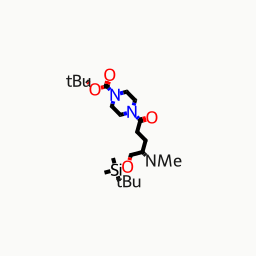 CNC(CCC(=O)N1CCN(C(=O)OC(C)(C)C)CC1)CO[Si](C)(C)C(C)(C)C